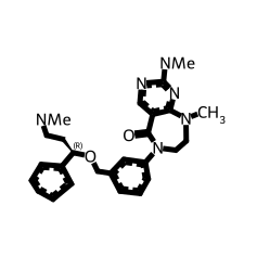 CNCC[C@@H](OCc1cccc(N2CCN(C)c3nc(NC)ncc3C2=O)c1)c1ccccc1